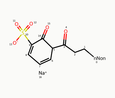 CCCCCCCCCCCC(=O)C1C=CC=C(S(=O)(=O)[O-])C1=O.[Na+]